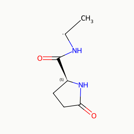 C[CH]NC(=O)[C@@H]1CCC(=O)N1